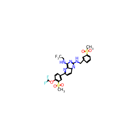 CS(=O)(=O)c1cccc(CNc2nc(NCC(F)(F)F)c3nc(-c4ccc(OC(F)F)c(S(C)(=O)=O)c4)ccc3n2)c1